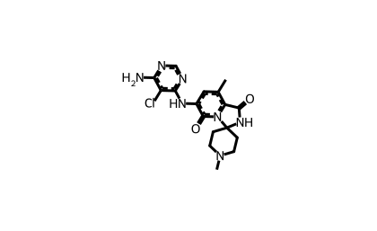 Cc1cc(Nc2ncnc(N)c2Cl)c(=O)n2c1C(=O)NC21CCN(C)CC1